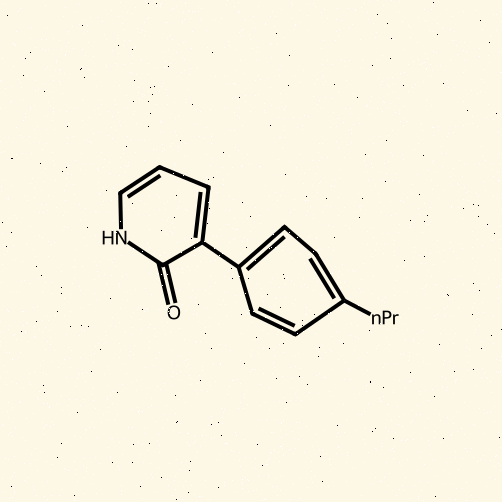 CCCc1ccc(-c2ccc[nH]c2=O)cc1